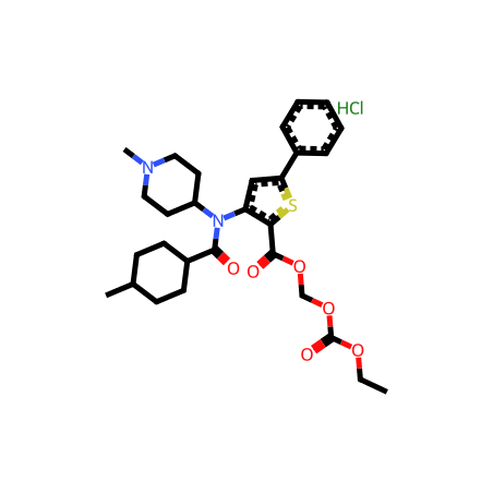 CCOC(=O)OCOC(=O)c1sc(-c2ccccc2)cc1N(C(=O)C1CCC(C)CC1)C1CCN(C)CC1.Cl